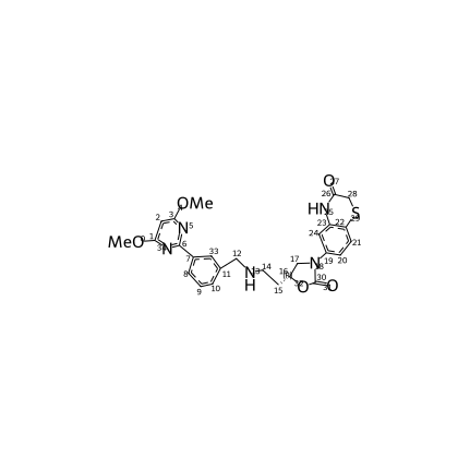 COc1cc(OC)nc(-c2cccc(CNCC[C@@H]3CN(c4ccc5c(c4)NC(=O)CS5)C(=O)O3)c2)n1